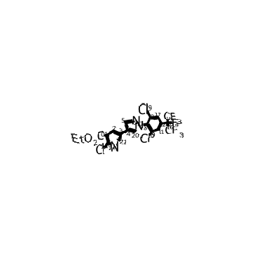 CCOC(=O)c1cc(-c2cnn(-c3c(Cl)cc(C(F)(C(F)(F)F)C(F)(F)F)cc3Cl)c2)cnc1Cl